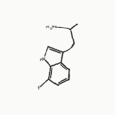 CC(N)Cc1c[nH]c2c(F)cccc12